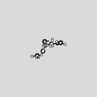 O=C(N[C@@H](Cc1ccccn1)C(=O)NCC(=O)N1CCC(Oc2ccc(Cl)nn2)CC1)c1cc2cc(Cl)ccc2o1